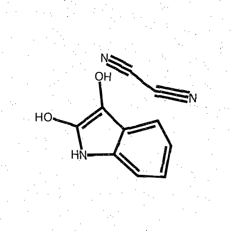 N#CC#N.Oc1[nH]c2ccccc2c1O